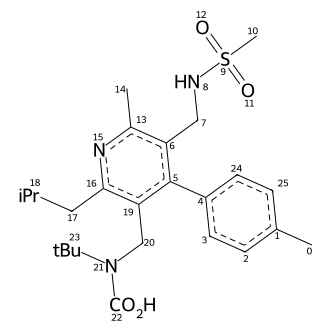 Cc1ccc(-c2c(CNS(C)(=O)=O)c(C)nc(CC(C)C)c2CN(C(=O)O)C(C)(C)C)cc1